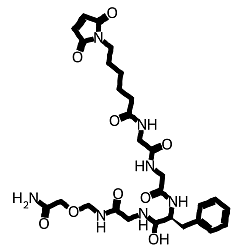 NC(=O)COCNC(=O)CNC(O)[C@H](Cc1ccccc1)NC(=O)CNC(=O)CNC(=O)CCCCCN1C(=O)C=CC1=O